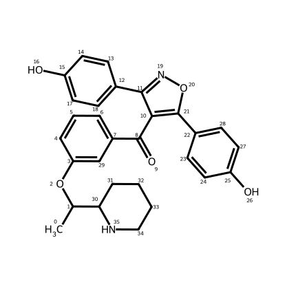 CC(Oc1cccc(C(=O)c2c(-c3ccc(O)cc3)noc2-c2ccc(O)cc2)c1)C1CCCCN1